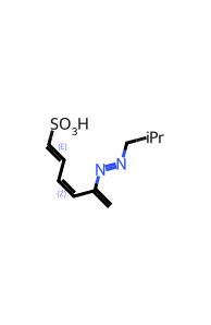 C=C(/C=C\C=C\S(=O)(=O)O)N=NCC(C)C